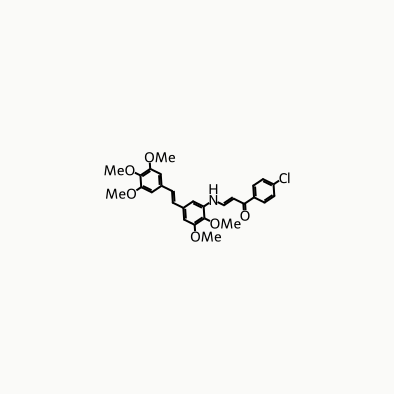 COc1cc(C=Cc2cc(OC)c(OC)c(OC)c2)cc(NC=CC(=O)c2ccc(Cl)cc2)c1OC